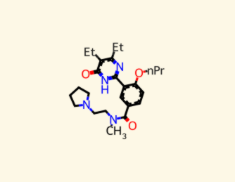 CCCOc1ccc(C(=O)N(C)CCN2CCCC2)cc1-c1nc(CC)c(CC)c(=O)[nH]1